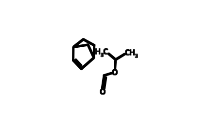 C1=CC2CCC1C2.CC(C)OC=O